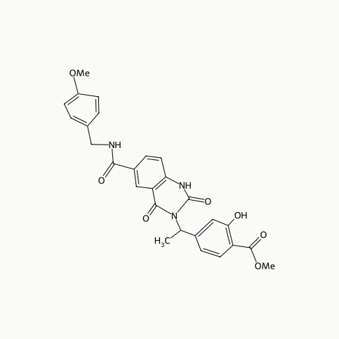 COC(=O)c1ccc(C(C)n2c(=O)[nH]c3ccc(C(=O)NCc4ccc(OC)cc4)cc3c2=O)cc1O